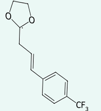 FC(F)(F)c1ccc(C=CC[C]2OCCO2)cc1